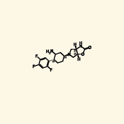 NC1C[C@@H](N2C[C@@H]3NC(=O)O[C@@H]3C2)CC[C@@H]1c1cc(F)c(F)cc1F